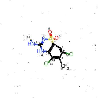 CC(C)NC1=NS(=O)(=O)c2cc(Cl)c(C(F)(F)F)c(Cl)c2N1